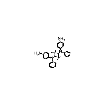 CC1(C)C(N(c2ccccc2)c2ccc(N)cc2)C(C)(C)C1N(c1ccccc1)c1ccc(N)cc1